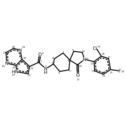 O=C(NC1CCC2(CC1)CCN(c1ccc(F)cc1Cl)C2=O)c1c[nH]c2nccnc12